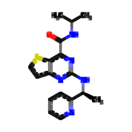 CC(C)NC(=O)c1nc(N[C@@H](C)c2ccccn2)nc2ccsc12